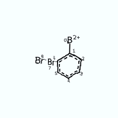 [B+2]c1ccccc1.[Br-].[Br-]